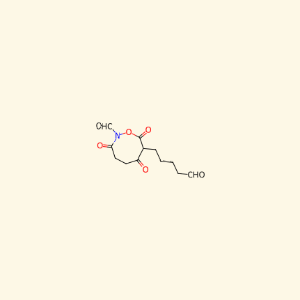 O=CCCCCC1C(=O)CCC(=O)N(C=O)OC1=O